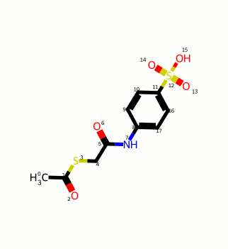 CC(=O)SCC(=O)Nc1ccc(S(=O)(=O)O)cc1